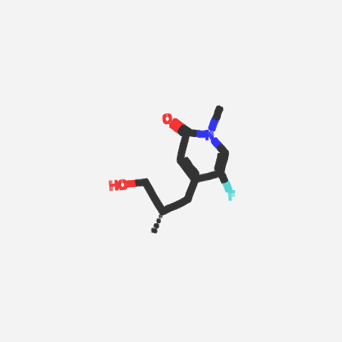 C[C@H](CO)Cc1cc(=O)n(C)cc1F